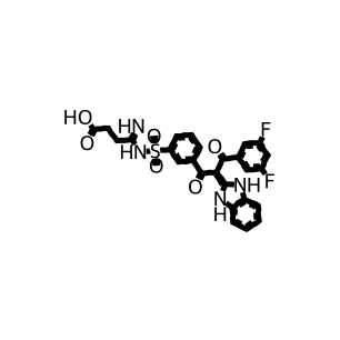 N=C(CCC(=O)O)NS(=O)(=O)c1cccc(C(=O)C(C(=O)c2cc(F)cc(F)c2)=C2Nc3ccccc3N2)c1